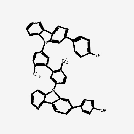 N#Cc1ccc(-c2ccc3c4ccccc4n(-c4ccc(C(F)(F)F)c(-c5cc(-n6c7ccccc7c7ccc(-c8ccc(C#N)cc8)cc76)ccc5C(F)(F)F)c4)c3c2)cc1